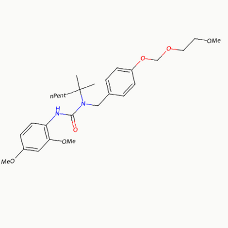 CCCCCC(C)(C)N(Cc1ccc(OCOCCOC)cc1)C(=O)Nc1ccc(OC)cc1OC